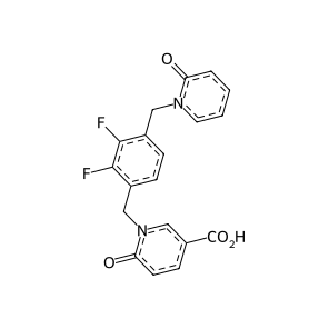 O=C(O)c1ccc(=O)n(Cc2ccc(Cn3ccccc3=O)c(F)c2F)c1